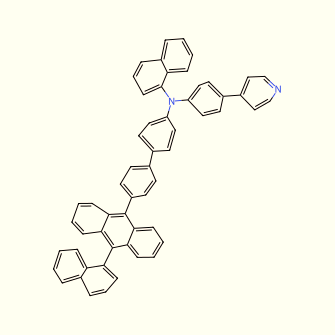 c1ccc2c(-c3c4ccccc4c(-c4ccc(-c5ccc(N(c6ccc(-c7ccncc7)cc6)c6cccc7ccccc67)cc5)cc4)c4ccccc34)cccc2c1